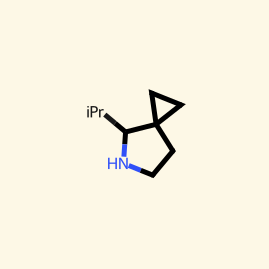 CC(C)C1NCCC12CC2